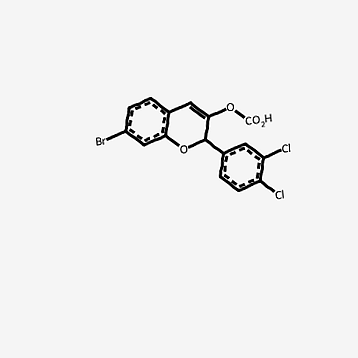 O=C(O)OC1=Cc2ccc(Br)cc2OC1c1ccc(Cl)c(Cl)c1